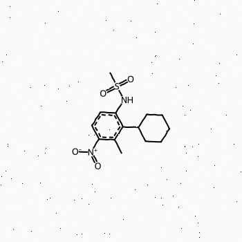 Cc1c([N+](=O)[O-])ccc(NS(C)(=O)=O)c1C1CCCCC1